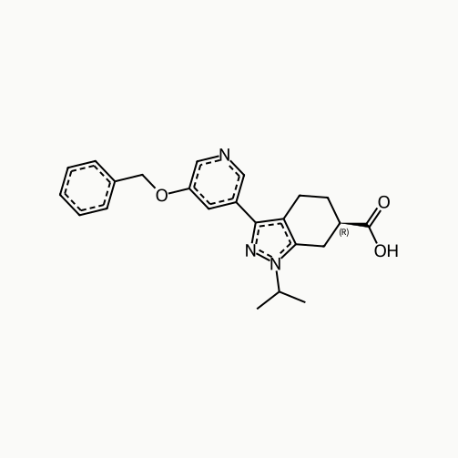 CC(C)n1nc(-c2cncc(OCc3ccccc3)c2)c2c1C[C@H](C(=O)O)CC2